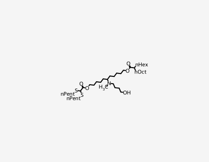 CCCCCCCCC(CCCCCC)C(=O)OCCCCCC(CCCCCOC(=O)C(SCCCCC)SCCCCC)N(C)CCCCO